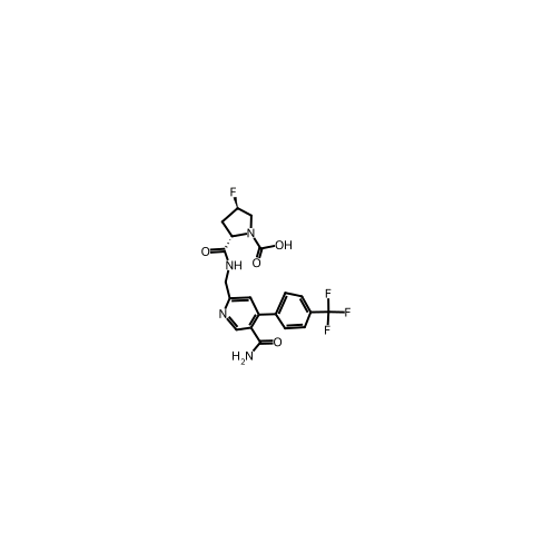 NC(=O)c1cnc(CNC(=O)[C@@H]2C[C@@H](F)CN2C(=O)O)cc1-c1ccc(C(F)(F)F)cc1